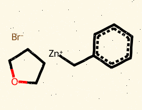 C1CCOC1.[Br-].[Zn+][CH2]c1ccccc1